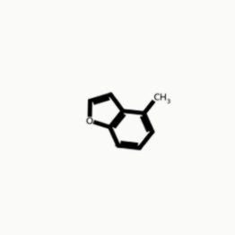 Cc1cc[c]c2occc12